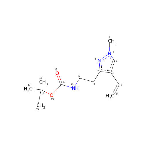 C=Cc1cn(C)nc1CCNC(=O)OC(C)(C)C